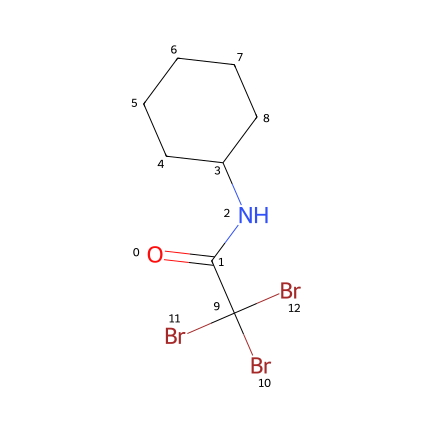 O=C(NC1CCCCC1)C(Br)(Br)Br